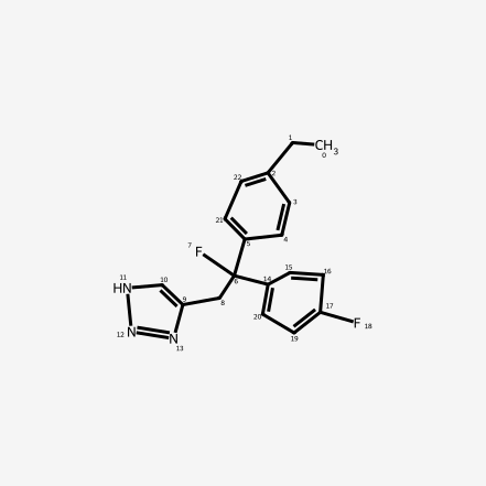 CCc1ccc(C(F)(Cc2c[nH]nn2)c2ccc(F)cc2)cc1